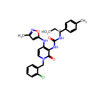 Cc1ccc([C@H](CC(=O)O)NC(=O)Nc2c(Nc3cc(C)no3)ccn(Cc3ccccc3Cl)c2=O)cc1